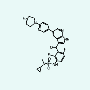 CN(C1CC1)S(=O)(=O)Nc1ccc(F)c(C(=O)c2c[nH]c3ncc(-c4ccc(N5CCNCC5)nc4)cc23)c1F